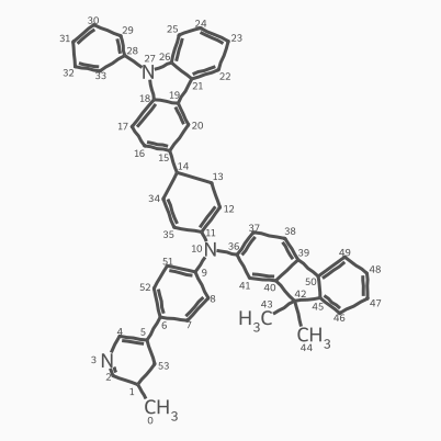 CC1C=NC=C(c2ccc(N(C3=CCC(c4ccc5c(c4)c4ccccc4n5-c4ccccc4)C=C3)c3ccc4c(c3)C(C)(C)c3ccccc3-4)cc2)C1